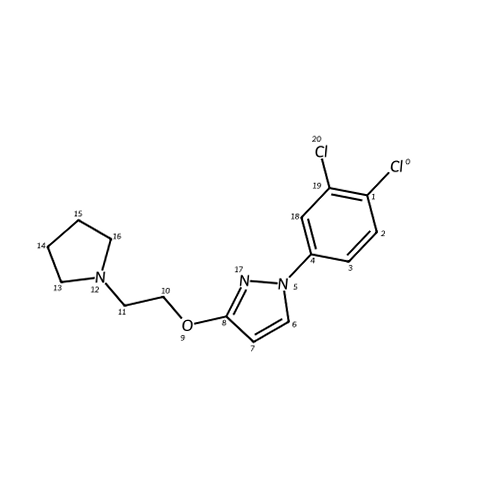 Clc1ccc(-n2ccc(OCCN3CCCC3)n2)cc1Cl